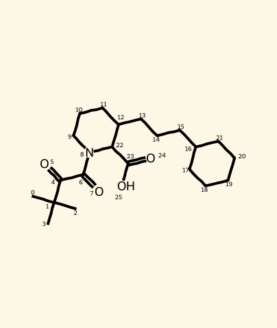 CC(C)(C)C(=O)C(=O)N1CCCC(CCCC2CCCCC2)C1C(=O)O